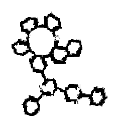 c1ccc(-c2ncc(-c3cc(-c4ccc5c(c4)-c4ccc6ccccc6c4Oc4ccccc4-c4ccccc4-c4ccccc4-5)nc(-c4ccccc4)n3)cn2)cc1